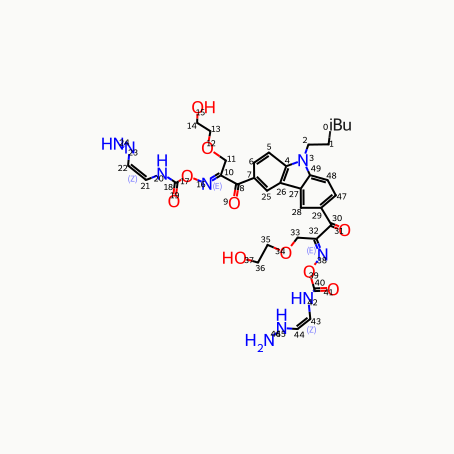 CCC(C)CCn1c2ccc(C(=O)/C(COCCO)=N/OC(=O)N/C=C\N=N)cc2c2cc(C(=O)/C(COCCO)=N/OC(=O)N/C=C\NN)ccc21